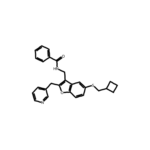 O=C(NCc1c(Cc2cccnc2)oc2ccc(SCC3CCC3)cc12)c1ccccc1